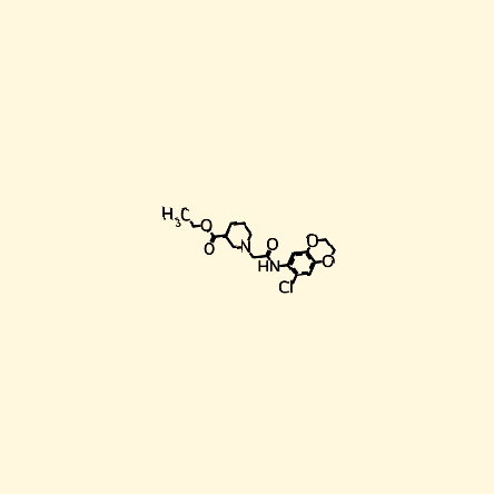 CCOC(=O)C1CCCN(CC(=O)Nc2cc3c(cc2Cl)OCCO3)C1